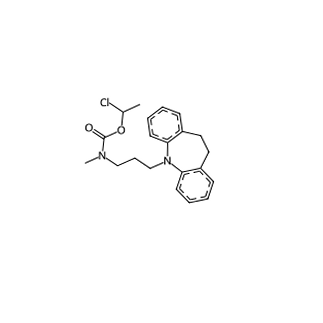 CC(Cl)OC(=O)N(C)CCCN1c2ccccc2CCc2ccccc21